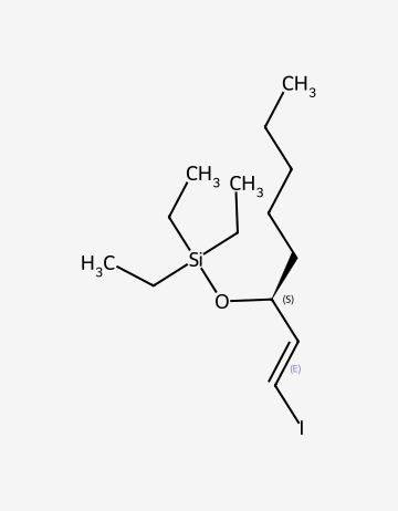 CCCCC[C@@H](/C=C/I)O[Si](CC)(CC)CC